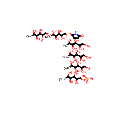 O=C1C=CC(=O)N1.O=CC(O)C(O)C(O)C(O)CO.O=CC(O)C(O)C(O)C(O)CO.O=CC(O)C(O)C(O)C(O)CO.O=CC(O)C(O)C(O)C(O)CO.O=CC(O)C(O)C(O)C(O)CO.O=CC(O)C(O)C(O)C(O)COP(=O)(O)O